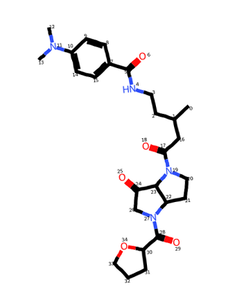 CC(CCNC(=O)c1ccc(N(C)C)cc1)CC(=O)N1CCC2C1C(=O)CN2C(=O)C1CCCO1